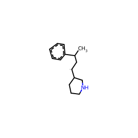 CC(C[CH]C1CCCNC1)c1ccccc1